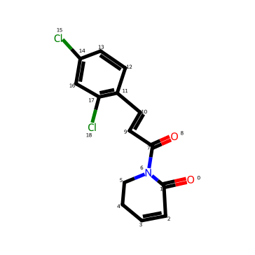 O=C1C=CCCN1C(=O)/C=C/c1ccc(Cl)cc1Cl